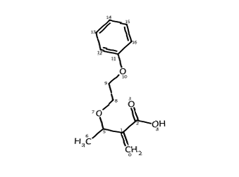 C=C(C(=O)O)C(C)OCCOc1ccccc1